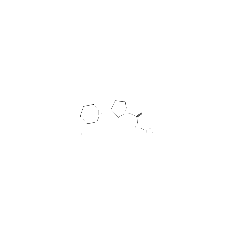 CC(C)(C)OC(=O)N1CC[C@@H](N2CCC[C@@H](O)C2)C1